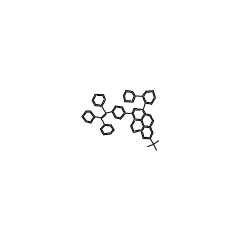 CC(C)(C)c1cc2ccc3c(-c4ccc(C(=C(c5ccccc5)c5ccccc5)c5ccccc5)cc4)cc(-c4ccccc4-c4ccccc4)c4ccc(c1)c2c34